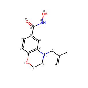 C=C(C)CN1CCOc2ccc(C(=O)NO)cc21